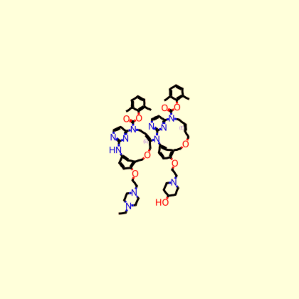 CCN1CCN(CCOc2ccc3cc2COC/C(N2c4ccc(OCCN5CCC(O)CC5)c(c4)COC/C=C/CN(C(=O)Oc4c(C)cccc4C)c4ccnc2n4)=C\CN(C(=O)Oc2c(C)cccc2C)c2ccnc(n2)N3)CC1